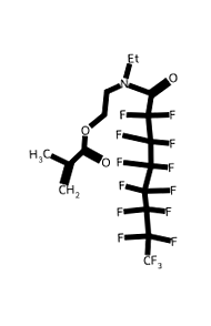 C=C(C)C(=O)OCCN(CC)C(=O)C(F)(F)C(F)(F)C(F)(F)C(F)(F)C(F)(F)C(F)(F)C(F)(F)F